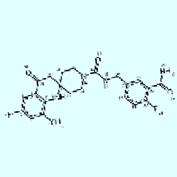 Cc1cc(F)cc2c1NC1(CCN(C(=O)NCc3ccc(F)c(C(N)=O)c3)CC1)CC2=O